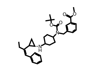 CCC(=Cc1ccccc1)C1C[C@@H]1NC1CCC(N(Cc2cccc(C(=O)OC)c2)C(=O)OC(C)(C)C)CC1